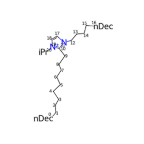 CCCCCCCCCCCCCCCCCCCc1n(CCCCCCCCCCCCCC)cc[n+]1C(C)C